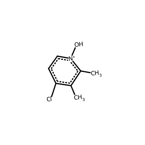 Cc1c(Cl)cc[n+](O)c1C